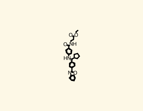 CCOC(=O)CCNC(=O)c1ccc(N[C@H](c2ccc(-c3nc4ccccc4o3)cc2)C2CCCC2)cc1